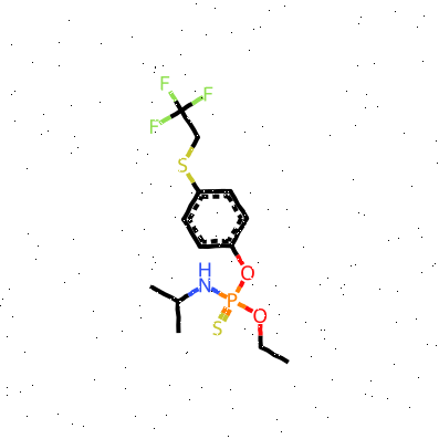 CCOP(=S)(NC(C)C)Oc1ccc(SCC(F)(F)F)cc1